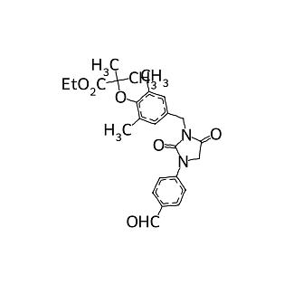 CCOC(=O)C(C)(C)Oc1c(C)cc(CN2C(=O)CN(c3ccc(C=O)cc3)C2=O)cc1C